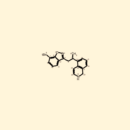 CC(Cc1noc2c(C(C)(C)C)cccc12)c1cccc2c1C=CNC2